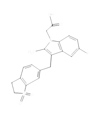 Cc1c(Cc2ccc3c(c2)S(=O)(=O)CC3)c2cc(F)ccc2n1CC(=O)O